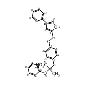 CC(Cc1ccc(OCc2cc(-c3ccccc3)no2)cc1)(Oc1ccccc1)C(=O)O